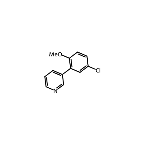 COc1ccc(Cl)cc1-c1cccnc1